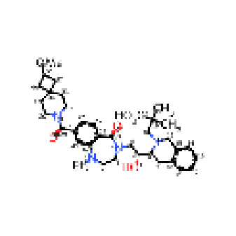 CCN1CCN(C[C@@H](O)[C@@H]2Cc3ccccc3CN2CC(C)(C)C(=O)O)C(=O)c2ccc(C(=O)N3CCC4(CC3)CC(OC)C4)cc21